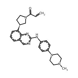 C=CC(=O)N1CC[C@H](c2cccc3cnc(Nc4ccc(N5CCN(C)CC5)cc4)nc23)C1